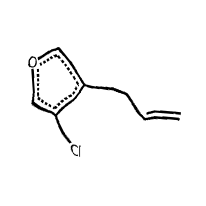 C=CCc1cocc1Cl